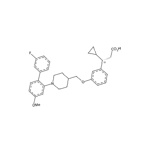 COc1ccc(-c2cccc(F)c2)c(N2CCC(COc3cccc([C@@H](CC(=O)O)C4CC4)c3)CC2)c1